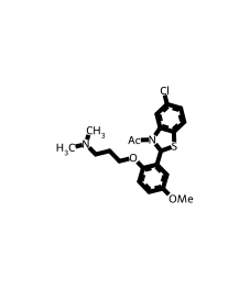 COc1ccc(OCCCN(C)C)c(C2Sc3ccc(Cl)cc3N2C(C)=O)c1